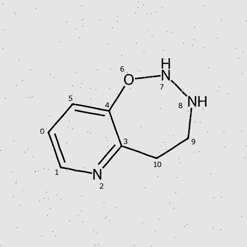 c1cnc2c(c1)ONNCC2